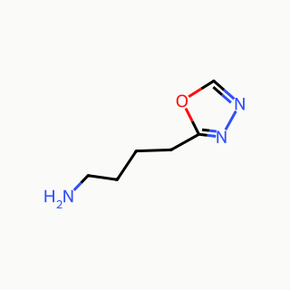 NCCCCc1nnco1